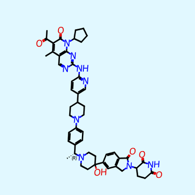 CC(=O)c1c(C)c2cnc(Nc3ccc(C4CCN(c5ccc([C@@H](C)N6CCC(O)(c7ccc8c(c7)CN(C7CCC(=O)NC7=O)C8=O)CC6)cc5)CC4)cn3)nc2n(C2CCCC2)c1=O